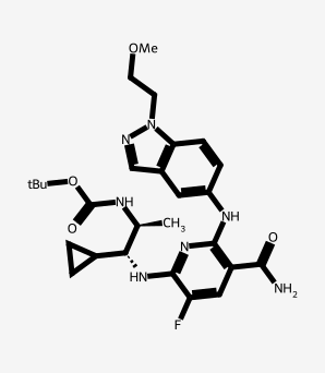 COCCn1ncc2cc(Nc3nc(N[C@H](C4CC4)[C@H](C)NC(=O)OC(C)(C)C)c(F)cc3C(N)=O)ccc21